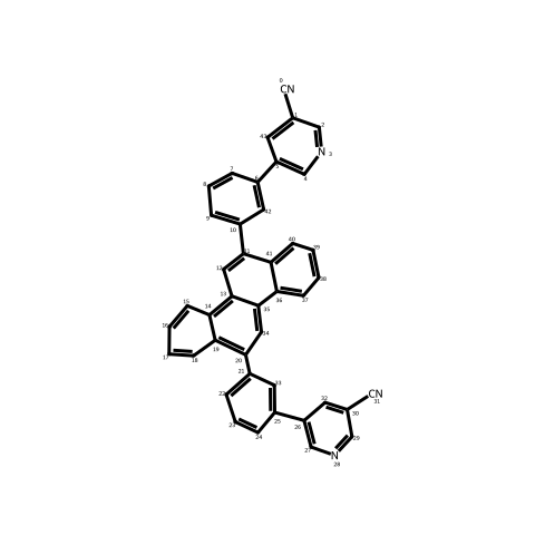 N#Cc1cncc(-c2cccc(-c3cc4c5ccccc5c(-c5cccc(-c6cncc(C#N)c6)c5)cc4c4ccccc34)c2)c1